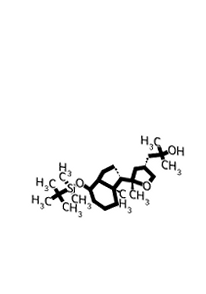 CC(C)(O)C[C@@H]1CO[C@](C)([C@H]2CCC3C(O[Si](C)(C)C(C)(C)C)CCC[C@@]32C)C1